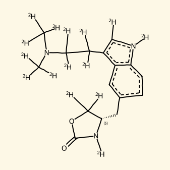 [2H]c1c(C([2H])([2H])C([2H])([2H])N(C([2H])([2H])[2H])C([2H])([2H])[2H])c2cc(C[C@@H]3N([2H])C(=O)OC3([2H])[2H])ccc2n1[2H]